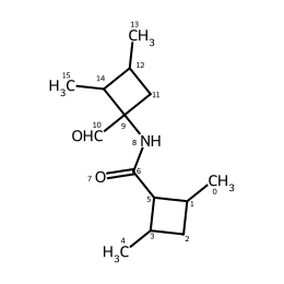 CC1CC(C)C1C(=O)NC1(C=O)CC(C)C1C